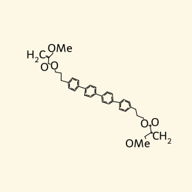 C=C(COC)C(=O)OCCCc1ccc(-c2ccc(-c3ccc(-c4ccc(CCCOC(=O)C(=C)COC)cc4)cc3)cc2)cc1